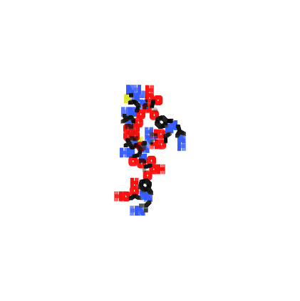 CC1(C)[C@H](NC(=O)/C(=N\O[C@@H](COc2ccc3c(c2)cn(CC2CNC2)[n+]3CC(O)CO)C(=O)O)c2csc(N)n2)C(=O)N1OS(=O)(=O)ON1C(=O)[C@@H](NC(=O)/C(=N\O[C@@H](COc2ccc3c(c2)cn(CC2CNC2)[n+]3CC(O)CO)C(=O)O)c2csc(N)n2)C1(C)C